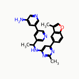 Cc1nc(NC(C)c2cncc(-c3cncc(N)c3)c2)cc(-c2ccc3occ(C)c3c2)n1